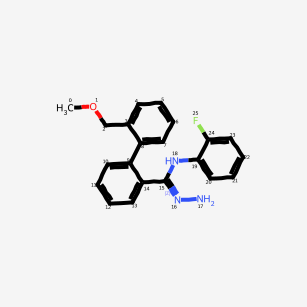 COCc1ccccc1-c1ccccc1/C(=N/N)Nc1ccccc1F